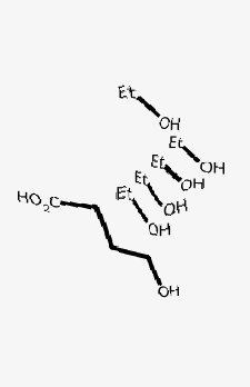 CCO.CCO.CCO.CCO.CCO.O=C(O)CCCO